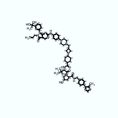 C=CCn1c(=O)c2cnc(Nc3ccc(N4CCN(CC5CN(C6CCC(C(=O)N[C@H](C(=O)N7CC(O)CC7C(=O)NCc7ccc(-c8scnc8C)cc7)C(C)(C)C)CC6)C5)CC4)cc3)nc2n1-c1cccc(C(C)(C)O)n1